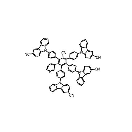 N#Cc1ccc2c(c1)c1ccccc1n2-c1ccc(-c2c(C#N)c(-c3ccc(-n4c5ccccc5c5cc(C#N)ccc54)cc3)c(-c3cccnc3)c(-c3ccc(-n4c5ccccc5c5cc(C#N)ccc54)cc3)c2-c2ccc(-n3c4ccccc4c4cc(C#N)ccc43)cc2)cc1